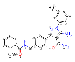 COc1ccccc1C(=O)NCc1ccc(-c2nn(-c3cccc(C)c3)c(N)c2C(N)=O)cc1